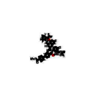 CNC(=O)c1ccc(-c2ccc3c(=O)n(-c4ccc(Cl)c5c(NS(C)(=O)=O)nn(C)c45)c([C@H](Cc4cc(F)cc(F)c4)NC(=O)Cn4nc(C(F)F)c5c4C(F)(F)C4C[C@@]54C)nc3c2)cc1